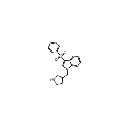 O=S(=O)(c1ccccc1)c1cn(CC2CCNC2)c2ccccc12